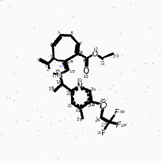 C=C(C)C1C=CCC=C(C(=O)OCC)/C1=C/N(C)C(C)c1cc(C)c(OCC(F)(F)F)cn1